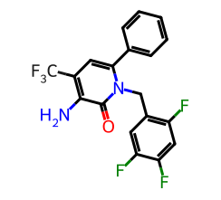 Nc1c(C(F)(F)F)cc(-c2ccccc2)n(Cc2cc(F)c(F)cc2F)c1=O